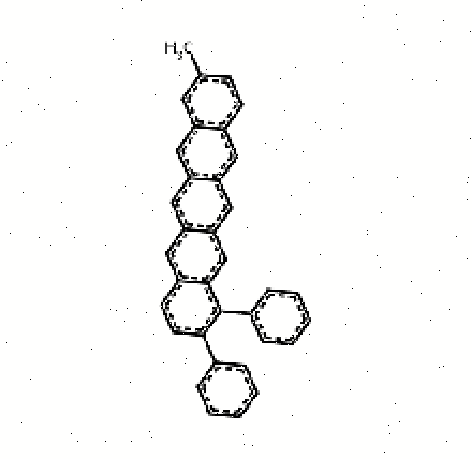 Cc1ccc2cc3cc4cc5c(-c6ccccc6)c(-c6ccccc6)ccc5cc4cc3cc2c1